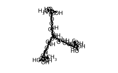 CC(=O)NC1C(O)CC(CO)OC1OCCOCCOCCNC(=O)CCOCC(N)(COCCC(=O)NCCOCCOCCOC1OC(CO)C(O)C(O)C1NC(C)=O)COCCC(=O)NCCOCCOCCOC1OC(CO)C(O)C(O)C1NC(C)=O